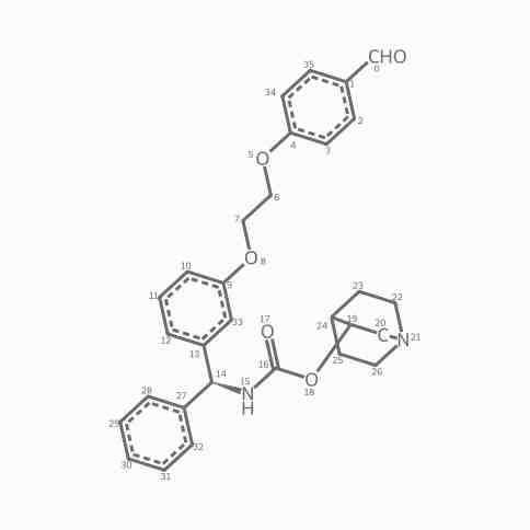 O=Cc1ccc(OCCOc2cccc([C@@H](NC(=O)OC3CN4CCC3CC4)c3ccccc3)c2)cc1